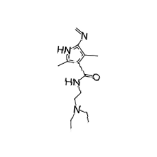 C=Nc1[nH]c(C)c(C(=O)NCCN(CC)CC)c1C